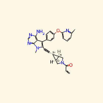 C=CC(=O)N1C[C@@H]2[C@@H](C#Cc3c(-c4ccc(Oc5cccc(C)n5)cc4)c4c(N)ncnc4n3C)[C@@H]2C1